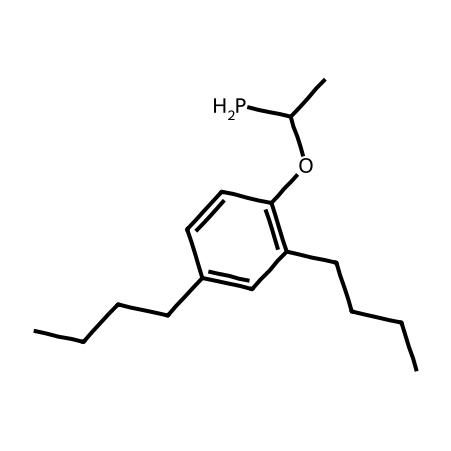 CCCCc1ccc(OC(C)P)c(CCCC)c1